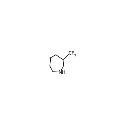 FC(F)(F)C1C[CH]CCNC1